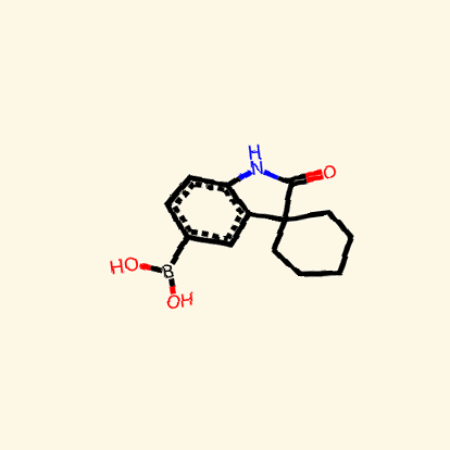 O=C1Nc2ccc(B(O)O)cc2C12CCCCC2